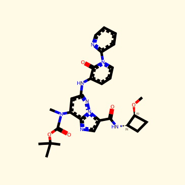 CO[C@H]1CC[C@@H]1NC(=O)c1cnc2c(N(C)C(=O)OC(C)(C)C)cc(Nc3cccn(-c4ccccn4)c3=O)nn12